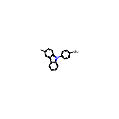 Cc1ccc2c(c1)c1ccccc1n2-c1ccc(C(C)(C)C)cc1